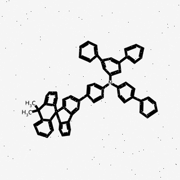 CC1(C)c2ccccc2C2(c3ccccc3-c3cc(-c4ccc(N(c5ccc(-c6ccccc6)cc5)c5cc(-c6ccccc6)cc(-c6ccccc6)c5)cc4)ccc32)c2ccccc21